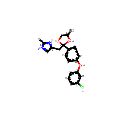 CCC1COC(Cc2c[nH]c(C)n2)(c2ccc(Oc3cccc(Cl)c3)cc2)O1